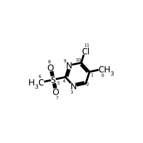 Cc1cnc(S(C)(=O)=O)nc1Cl